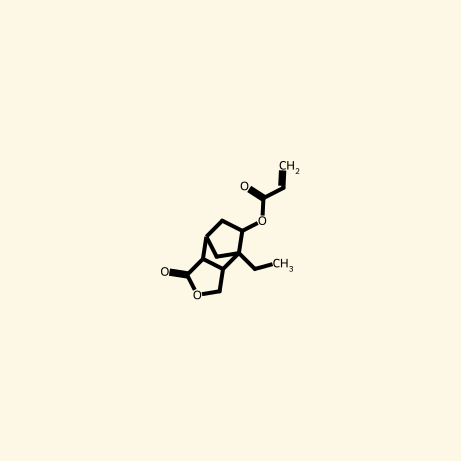 C=CC(=O)OC1CC2CC1(CC)C1COC(=O)C21